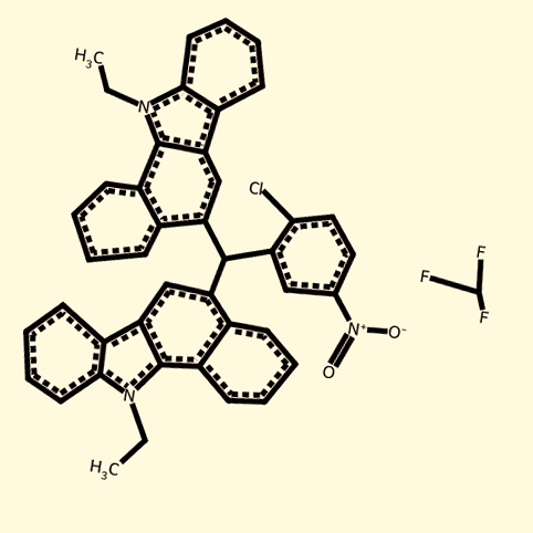 CCn1c2ccccc2c2cc(C(c3cc([N+](=O)[O-])ccc3Cl)c3cc4c5ccccc5n(CC)c4c4ccccc34)c3ccccc3c21.FC(F)F